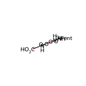 [CH2]CCC([CH2])NC(=O)CCC(=O)NCCCOCCCCOCCCNC(=O)CCCCCCCCC(=O)O